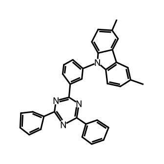 Cc1ccc2c(c1)c1cc(C)ccc1n2-c1cccc(-c2nc(-c3ccccc3)nc(-c3ccccc3)n2)c1